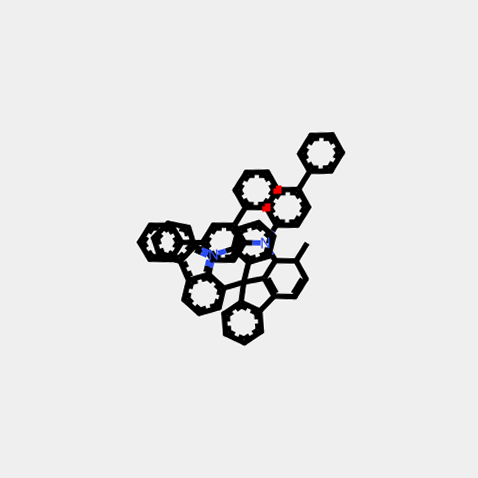 CC1C=CC2=C(C1N(c1ccc(-c3ccccc3)cc1)c1ccc(-c3ccccc3)cc1-c1ccccc1)C1(c3ccccc32)c2ccccc2-n2c3ccccc3c3cccc1c32